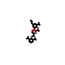 C=CCc1cc(C(C)C)c(/N=C(/C)c2cccc(/C(C)=N/c3c(C(C)C)cccc3C(C)C)n2)c(C(C)C)c1